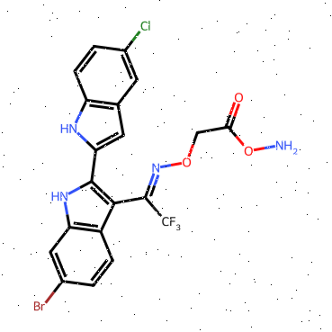 NOC(=O)CO/N=C(/c1c(-c2cc3cc(Cl)ccc3[nH]2)[nH]c2cc(Br)ccc12)C(F)(F)F